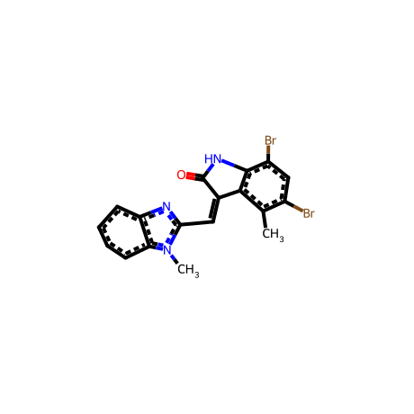 Cc1c(Br)cc(Br)c2c1C(=Cc1nc3ccccc3n1C)C(=O)N2